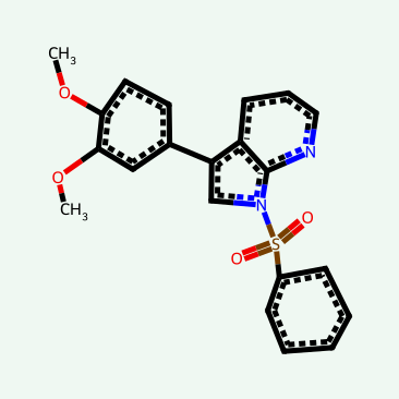 COc1ccc(-c2cn(S(=O)(=O)c3ccccc3)c3ncccc23)cc1OC